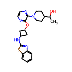 CC(O)C1CCN(c2nccnc2O[C@H]2C[C@@H](Nc3nc4ccccc4s3)C2)CC1